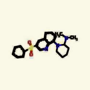 CN(C)C1CCCCN1c1cccc2cc(S(=O)(=O)c3ccccc3)cnc12